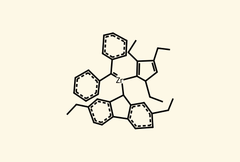 CCC1=CC(CC)[C]([Zr](=[C](c2ccccc2)c2ccccc2)[CH]2c3cc(CC)ccc3-c3ccc(CC)cc32)=C1CC